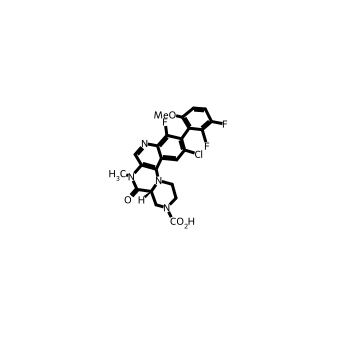 COc1ccc(F)c(F)c1-c1c(Cl)cc2c3c(cnc2c1F)N(C)C(=O)[C@H]1CN(C(=O)O)CCN31